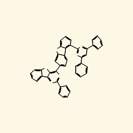 c1ccc(-c2cc(-c3ccccc3)nc(-c3cccc4sc5cc(-c6nc(-c7ccccc7)nc7c6sc6ccccc67)ccc5c34)n2)cc1